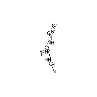 CC(C)(C#N)c1ccc(NCC#Cc2cc3cc(CNC4CCN(C(=O)CN5CC[S+]([O-])CC5)CC4)ccc3n2CC(F)(F)F)cn1